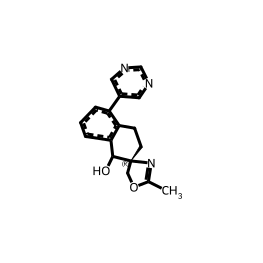 CC1=N[C@]2(CCc3c(-c4cncnc4)cccc3C2O)CO1